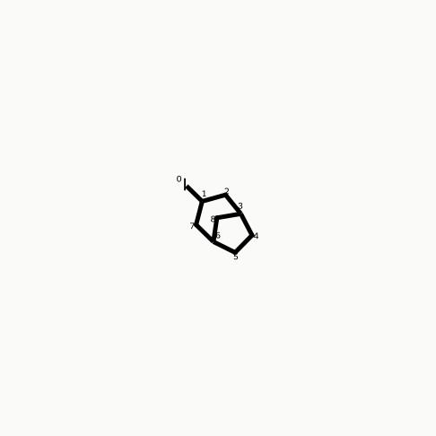 IC1CC2CCC(C1)C2